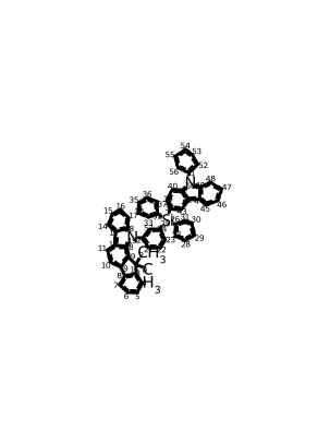 CC1(C)c2ccccc2-c2ccc3c4ccccc4n(-c4cccc([Si](c5ccccc5)(c5ccccc5)c5ccc6c(c5)c5ccccc5n6-c5ccccc5)c4)c3c21